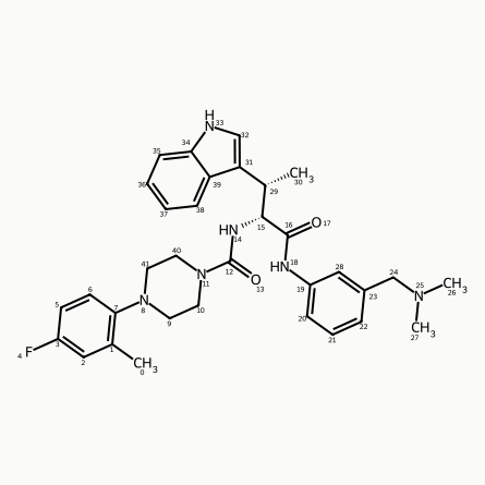 Cc1cc(F)ccc1N1CCN(C(=O)N[C@@H](C(=O)Nc2cccc(CN(C)C)c2)[C@@H](C)c2c[nH]c3ccccc23)CC1